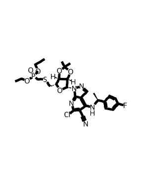 CCOP(=O)(CSC[C@H]1O[C@@H](n2ncc3c(N[C@@H](C)c4ccc(F)cc4)c(C#N)c(Cl)nc32)[C@@H]2OC(C)(C)O[C@@H]21)OCC